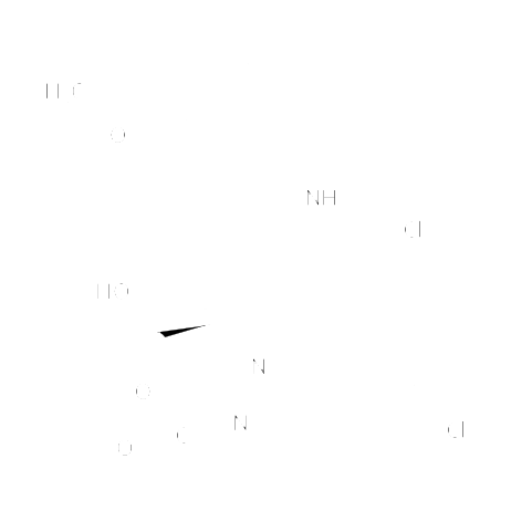 COc1cccc(N[C@H]2C[C@H](C(=O)O)N(N=C=O)c3cc(Cl)cc(Cl)c32)c1